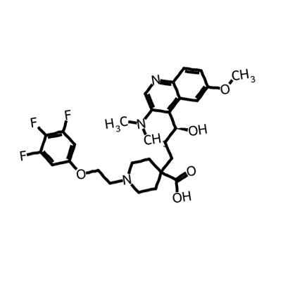 COc1ccc2ncc(N(C)C)c([C@@H](O)CCC3(C(=O)O)CCN(CCOc4cc(F)c(F)c(F)c4)CC3)c2c1